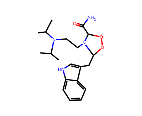 CC(C)N(CCN1C(Cc2c[nH]c3ccccc23)OOC1C(N)=O)C(C)C